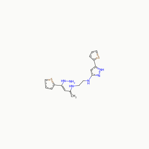 C=C(/C=C(\NN)c1cccs1)NCCNc1cc(-c2cccs2)[nH]n1